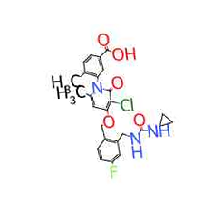 Cc1ccc(C(=O)O)cc1-n1c(C)cc(OCc2ccc(F)cc2CNC(=O)NC2CC2)c(Cl)c1=O